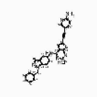 Cl.Nc1cnc(C#Cc2cc3c(Nc4ccc5c(cnn5Cc5ccccc5)c4)ncnc3s2)cn1